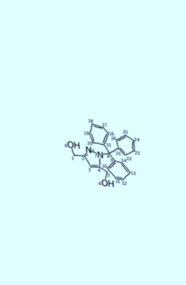 OCc1cc(CO)n(C(c2ccccc2)(c2ccccc2)c2ccccc2)n1